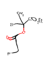 CCOC(=O)C(C)(CC)OC(=O)CC(C)C